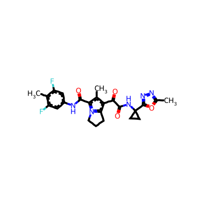 Cc1nnc(C2(NC(=O)C(=O)c3c(C)c(C(=O)Nc4cc(F)c(C)c(F)c4)n4c3CCC4)CC2)o1